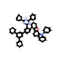 C1=CCCC(C2=NC(c3cc(-c4cc(C5=CCCC=C5)cc(C5=CCCCC5)c4)ccc3C3=CCCc4oc5c(ccc6c7ccccc7n(C7=CC=CCC7)c65)c43)=NC(c3ccccc3)N2)=C1